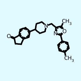 Cc1ccc(-c2nc(CN3CCC(c4ccc5c(c4)CCC5=O)CC3)c(C)o2)cc1